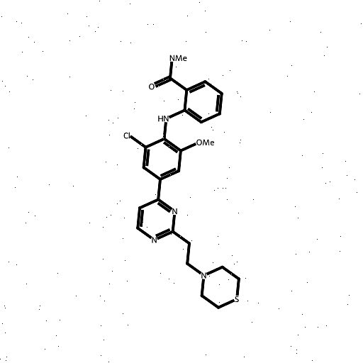 CNC(=O)c1ccccc1Nc1c(Cl)cc(-c2ccnc(CCN3CCSCC3)n2)cc1OC